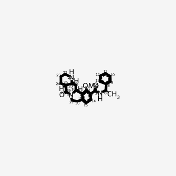 COc1c(C(=O)N[C@H](C)c2ccccc2)ccc2c1[C@H]1C[C@H]3NCCC[C@H]3C(=O)N1CC2